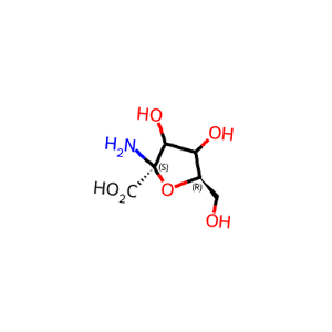 N[C@]1(C(=O)O)O[C@H](CO)C(O)C1O